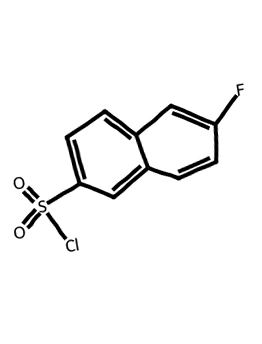 O=S(=O)(Cl)c1ccc2cc(F)ccc2c1